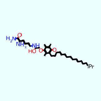 Cc1c(C)c2c(c(C)c1OCC(O)NCCCC[C@@H](N)C(N)=O)CCC(CCCCCCCCCCCC(C)C)O2